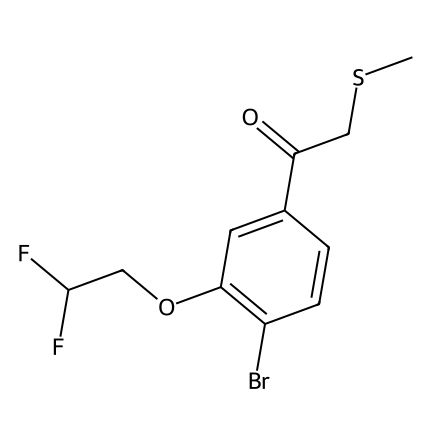 CSCC(=O)c1ccc(Br)c(OCC(F)F)c1